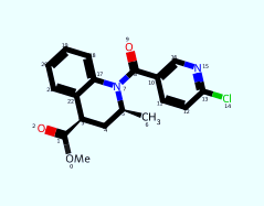 COC(=O)[C@@H]1C[C@H](C)N(C(=O)c2ccc(Cl)nc2)c2ccccc21